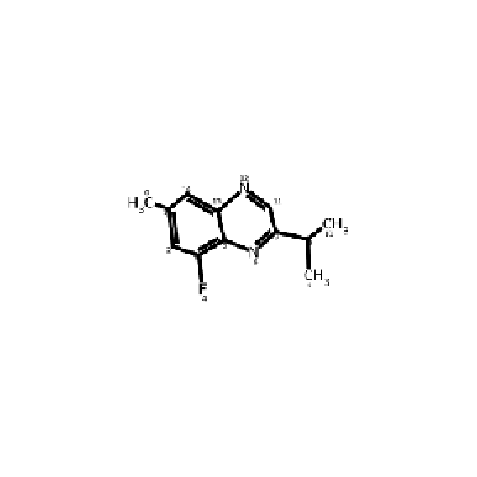 Cc1cc(F)c2nc(C(C)C)cnc2c1